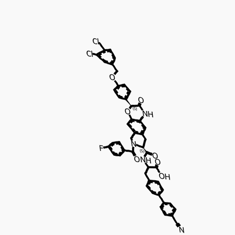 N#Cc1ccc(-c2ccc(CC(NC(=O)[C@@H]3Cc4cc5c(cc4CN3C(=O)c3ccc(F)cc3)O[C@@H](c3ccc(OCc4ccc(Cl)c(Cl)c4)cc3)C(=O)N5)C(=O)O)cc2)cc1